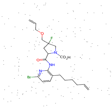 C=CCCCCc1ccc(Br)nc1NC(=O)C1CC(F)(COCC=C)CN1C(=O)O